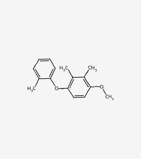 COc1ccc(Oc2ccccc2C)c(C)c1C